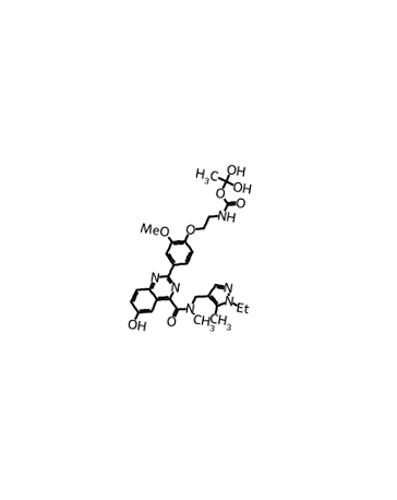 CCn1ncc(CN(C)C(=O)c2nc(-c3ccc(OCCNC(=O)OC(C)(O)O)c(OC)c3)nc3ccc(O)cc23)c1C